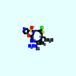 CCN(N)c1ccc2c(C)c1NC[C@@H]1CN(Cc3cc(sc3Cl)[C@H]2CC(=O)O)[S+]([O-])c2cnccc2O1